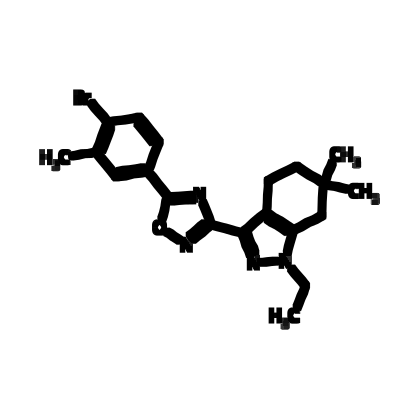 CCn1nc(-c2noc(-c3ccc(Br)c(C)c3)n2)c2c1CC(C)(C)CC2